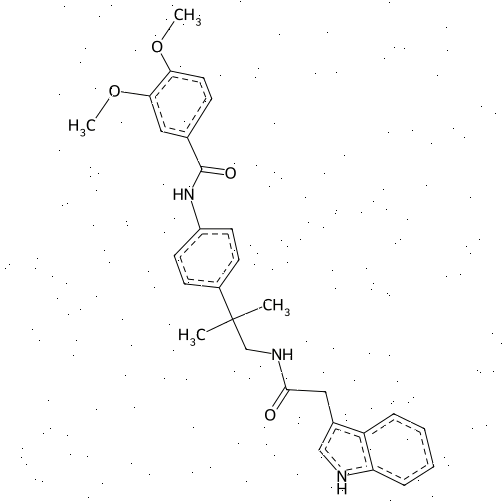 COc1ccc(C(=O)Nc2ccc(C(C)(C)CNC(=O)Cc3c[nH]c4ccccc34)cc2)cc1OC